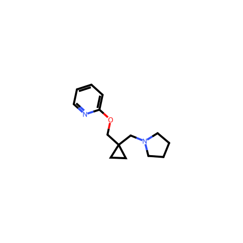 c1ccc(OCC2(CN3CCCC3)CC2)nc1